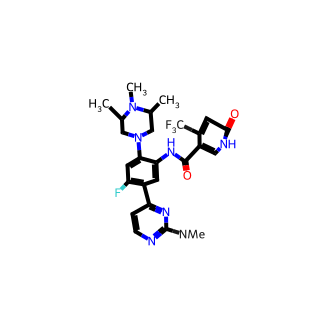 CNc1nccc(-c2cc(NC(=O)c3c[nH]c(=O)cc3C(F)(F)F)c(N3CC(C)N(C)C(C)C3)cc2F)n1